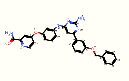 NC(=O)c1cc(Oc2cccc(Nc3cc(-c4cccc(OCc5ccccc5)c4)nc(N)n3)c2)ccn1